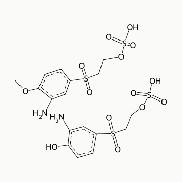 COc1ccc(S(=O)(=O)CCOS(=O)(=O)O)cc1N.Nc1cc(S(=O)(=O)CCOS(=O)(=O)O)ccc1O